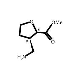 COC(=O)[C@@H]1OCC[C@@H]1CN